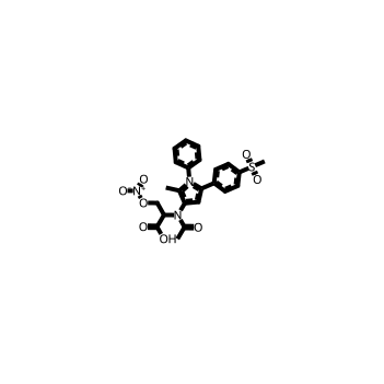 CC(=O)N(c1cc(-c2ccc(S(C)(=O)=O)cc2)n(-c2ccccc2)c1C)C(CO[N+](=O)[O-])C(=O)O